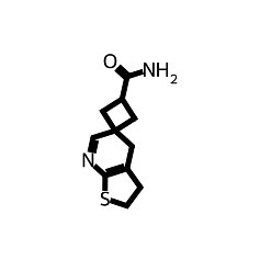 NC(=O)C1CC2(C=NC3=C(CCS3)C2)C1